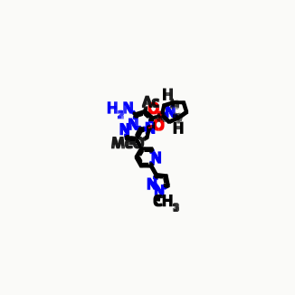 COCCOC(=O)N1[C@@H]2CC[C@H]1C[C@@H](c1nc3c(-c4ccc(-c5ccn(C)n5)nc4)cnn3c(N)c1C(C)=O)C2